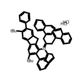 CC(C)(C)c1cc2c(cc1-c1ccccc1)Cc1c-2cc(C(C)(C)C)c(-c2ccccc2)[c]1[Zr]([C]1=CC=CC1)=[C](Cc1cccc2ccccc12)Cc1cccc2ccccc12.Cl.Cl